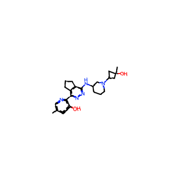 Cc1cnc(-c2nnc(NC3CCCN(C4CC(C)(O)C4)C3)c3c2CCC3)c(O)c1